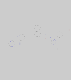 COc1cncc(Nc2cc(COc3ccc(NC(=O)Nc4cc(C(C)(C)C)nn4-c4ccc(CO)cc4)c4ccccc34)ccn2)n1